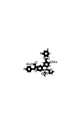 CNC(=O)c1c(-c2ccc(F)cc2)oc2cc(N(CC3CCCO3)S(C)(=O)=O)c(-c3ccc(OC)c(-c4nc5c(F)cc(F)cc5o4)c3)cc12